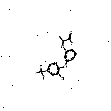 CC(Oc1cccc(Oc2ncc(C(F)(F)F)cc2Cl)c1)C(=O)Cl